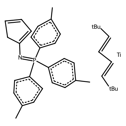 CC(C)(C)C=CC=CC(C)(C)C.Cc1ccc(P(=NC2=CC=CC2)(c2ccc(C)cc2)c2ccc(C)cc2)cc1.[Ti]